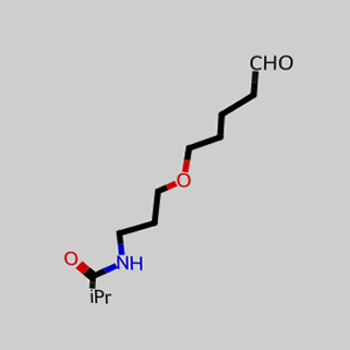 CC(C)C(=O)NCCCOCCCCC=O